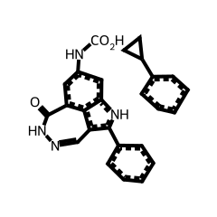 O=C(O)Nc1cc2c3c(c(-c4ccccc4)[nH]c3c1)C=NNC2=O.c1ccc(C2CC2)cc1